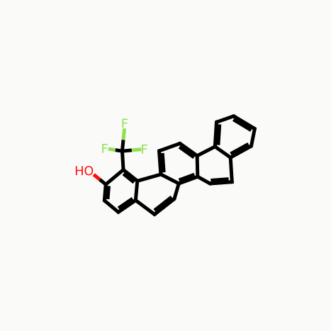 Oc1ccc2ccc3c4ccc5ccccc5c4ccc3c2c1C(F)(F)F